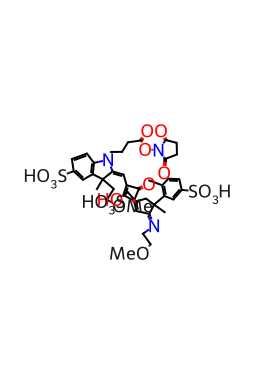 COCC/N=C(\C=C1/C(=O)C(/C=C2/N(CCCC(=O)ON3C(=O)CCC3=O)c3ccc(S(=O)(=O)O)cc3C2(C)CCOC)=C1O)C(C)(CCCS(=O)(=O)O)c1cc(S(=O)(=O)O)ccc1C